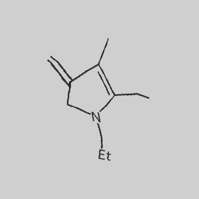 C=C1CN(CC)C(C)=C1C